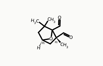 CC1(C)C[C@@H]2C[C@@](C)(C=O)C1(C=O)O2